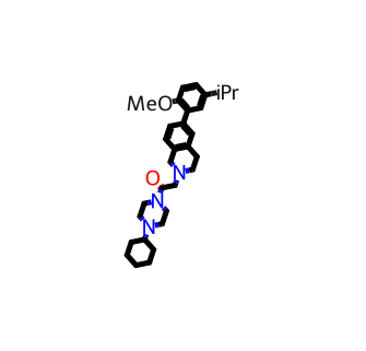 COc1ccc(C(C)C)cc1-c1ccc2c(c1)CCN(CC(=O)N1CCN(C3CCCCC3)CC1)C2